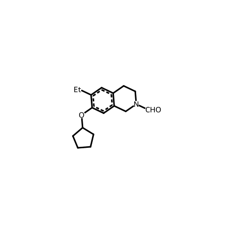 CCc1cc2c(cc1OC1CCCC1)CN(C=O)CC2